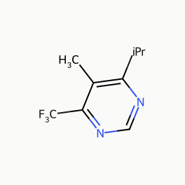 Cc1c(C(C)C)ncnc1C(F)(F)F